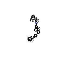 CC(C)(C)OC(=O)NCc1ccc(-c2cccc(S(=O)(=O)n3ccc(/C=C/C(=O)NOC4CCCCO4)c3)c2)cc1